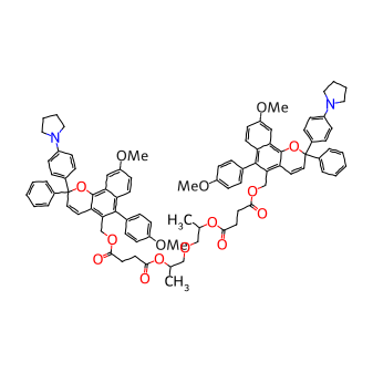 COc1ccc(-c2c(COC(=O)CCC(=O)OC(C)COCC(C)OC(=O)CCC(=O)OCc3c4c(c5cc(OC)ccc5c3-c3ccc(OC)cc3)OC(c3ccccc3)(c3ccc(N5CCCC5)cc3)C=C4)c3c(c4cc(OC)ccc24)OC(c2ccccc2)(c2ccc(N4CCCC4)cc2)C=C3)cc1